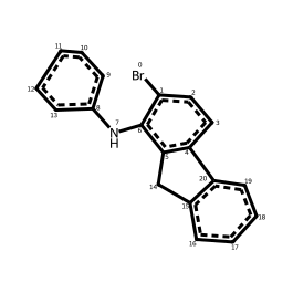 Brc1ccc2c(c1Nc1ccccc1)Cc1ccccc1-2